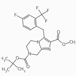 COC(=O)c1nc2n(c1Cc1ccc(F)cc1C(F)(F)F)CCN(C(=O)OC(C)(C)C)C2